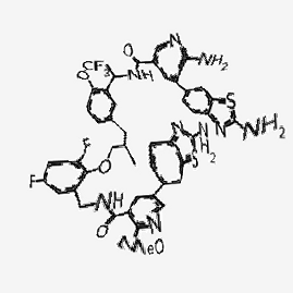 COc1ncc(-c2ccc3nc(N)sc3c2)cc1C(=O)NCc1cc(F)cc(F)c1OCC(C)Cc1ccc(OC(F)(F)F)c(C(C)NC(=O)c2cnc(N)c(-c3ccc4nc(N)sc4c3)c2)c1